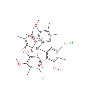 COc1c([Si](c2cc(C)c(C)c(OC)c2OC)(c2cc(C)c(C)c(OC)c2OC)[C]2([Ti+3])C(C)=C(C)C(C)=C2C)cc(C)c(C)c1OC.[Cl-].[Cl-].[Cl-]